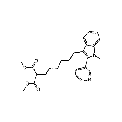 COC(=O)C(CCCCCCc1c(-c2cccnc2)n(C)c2ccccc12)C(=O)OC